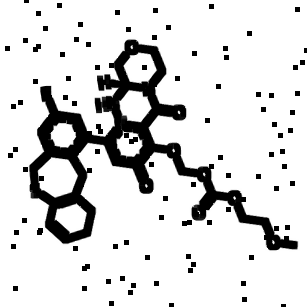 COCCOC(=O)OCOc1c2n(c(-c3cc(F)cc4c3CC3=C(C=CCC3)SC4)cc1=O)N[C@@H]1COCCN1C2=O